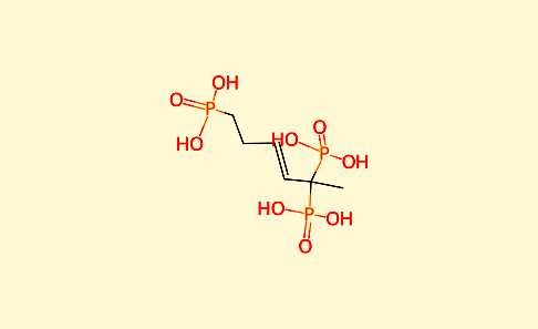 CC(C=CCCP(=O)(O)O)(P(=O)(O)O)P(=O)(O)O